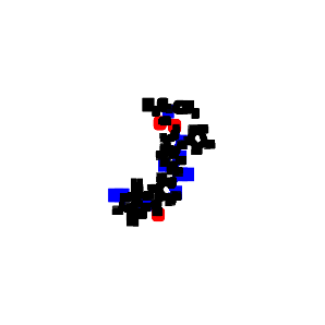 CN(C)C(=O)Oc1cc2cnc(Nc3ccc(C(=O)N4C[C@@H]5CN[C@@H](C5)C4)cn3)nc2n1C1CCCC1